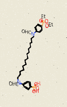 CCOP(=O)(OCC)c1ccc(N(C=O)CCCCCCCCCCCCCCCCN(C=O)c2ccc(P(=O)(O)O)cc2)cc1